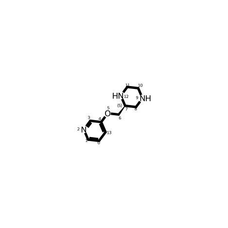 c1cncc(OC[C@@H]2CNCCN2)c1